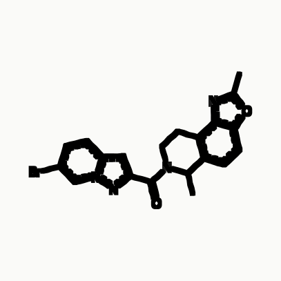 Cc1nc2c3c(ccc2o1)C(C)N(C(=O)c1cc2ccc(Br)cn2n1)CC3